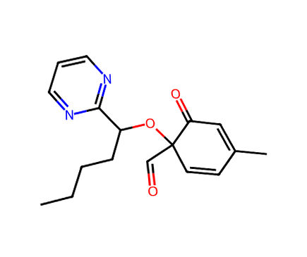 CCCCC(OC1(C=O)C=CC(C)=CC1=O)c1ncccn1